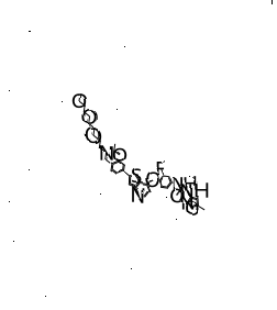 COCCOCCOCCN(Cc1ccc(-c2cc3nccc(Oc4ccc(NC(=O)Nc5cc(C)on5)cc4F)c3s2)cc1)C(C)=O